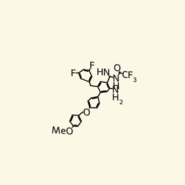 COc1ccc(COc2ccc(-c3cc(N)c(C(=N)NC(=O)C(F)(F)F)cc3Cc3cc(F)cc(F)c3)cc2)cc1